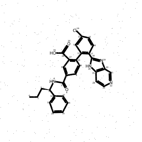 CCC[C@@H](NC(=O)c1ccc(-c2cc(Cl)ccc2-c2nc3cnccc3[nH]2)c(C(=O)O)c1)c1ccccc1